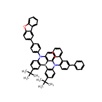 CC(C)(C)c1ccc2c(c1)B1c3cc(C(C)(C)C)ccc3N(c3ccc(-c4ccccc4)cc3-c3ccccc3)c3cccc(c31)N2c1ccc(-c2ccc3oc4ccccc4c3c2)cc1